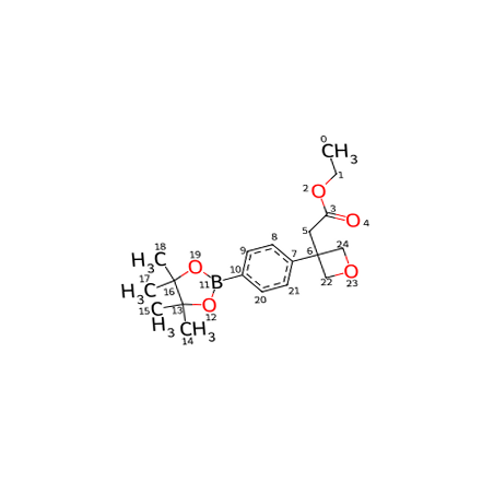 CCOC(=O)CC1(c2ccc(B3OC(C)(C)C(C)(C)O3)cc2)COC1